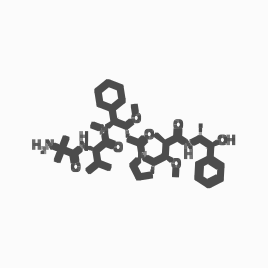 CO[C@H]([C@@H](C)C(=O)N[C@H](C)[C@@H](O)c1ccccc1)[C@@H]1CCCN1C(=O)C[C@@H](OC)[C@H](C1CCCCC1)N(C)C(=O)[C@@H](NC(=O)C(C)(C)N)C(C)C